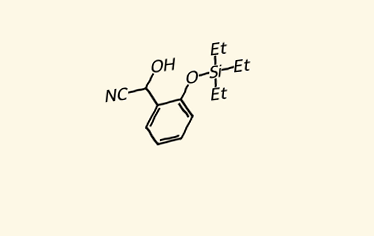 CC[Si](CC)(CC)Oc1ccccc1C(O)C#N